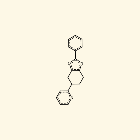 c1ccc(-c2nc3c(o2)CC(c2ccccn2)CC3)cc1